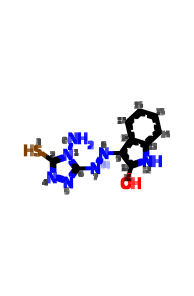 Nn1c(S)nnc1/N=N/c1c(O)[nH]c2ccccc12